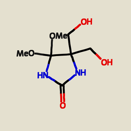 COC1(OC)NC(=O)NC1(CO)CO